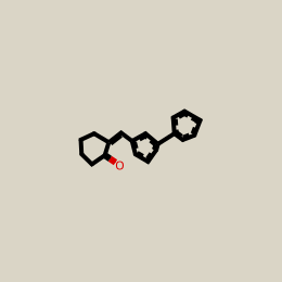 O=C1CCCCC1=Cc1cccc(-c2ccccc2)c1